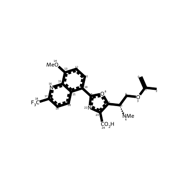 C=C(C)OC[C@H](NC)c1oc(-c2ccc(OC)c3nc(C(F)(F)F)ccc23)nc1C(=O)O